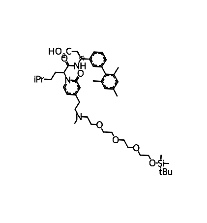 Cc1cc(C)c(-c2cccc([C@H](CC(=O)O)NC(=O)C(CCC(C)C)n3ccc(CCN(C)CCOCCOCCOCCO[Si](C)(C)C(C)(C)C)cc3=O)c2)c(C)c1